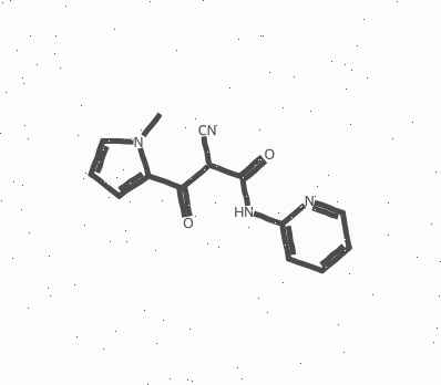 Cn1cccc1C(=O)C(C#N)C(=O)Nc1ccccn1